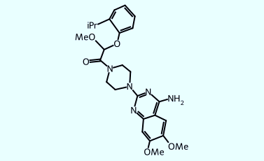 COc1cc2nc(N3CCN(C(=O)C(OC)Oc4ccccc4C(C)C)CC3)nc(N)c2cc1OC